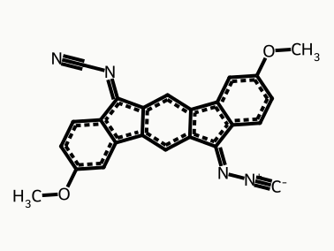 [C-]#[N+]/N=c1\c2ccc(OC)cc2c2cc3/c(=N/C#N)c4ccc(OC)cc4c3cc12